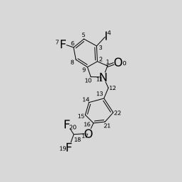 O=C1c2c(I)cc(F)cc2CN1Cc1ccc(OC(F)F)cc1